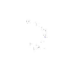 COc1ccc(C[n+]2ccc3c(cnn3COCC[Si](C)(C)C)c2C)cc1